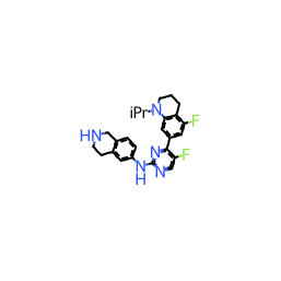 CC(C)N1CCCc2c(F)cc(-c3nc(Nc4ccc5c(c4)CCNC5)ncc3F)cc21